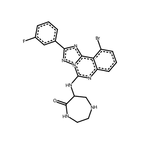 O=C1NCCNCC1Nc1nc2cccc(Br)c2c2nc(-c3cccc(F)c3)nn12